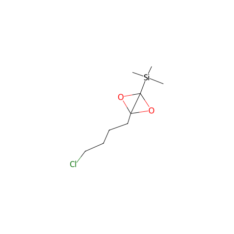 C[Si](C)(C)C12OC1(CCCCCl)O2